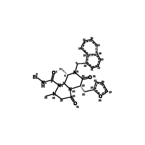 CCNC(=O)N1C2[C@H](C)N(Cc3cccc4ccccc34)C(=O)[C@H](Cc3ccco3)N2C(=O)CN1C